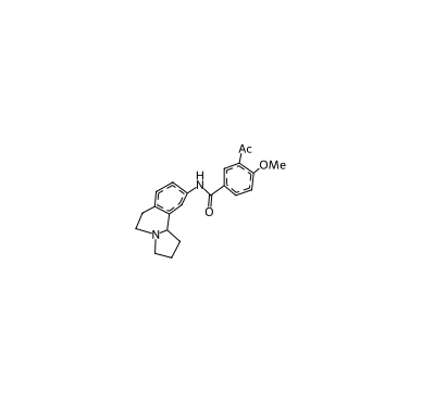 COc1ccc(C(=O)Nc2ccc3c(c2)C2CCCN2CC3)cc1C(C)=O